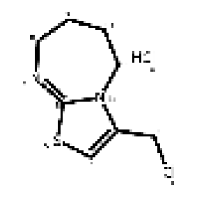 Cl.ClCC1=CSC2=NCCCCN12